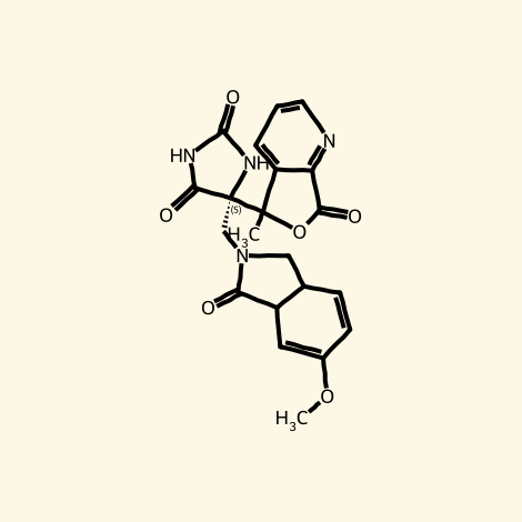 COC1=CC2C(=O)N(C[C@@]3(C4(C)OC(=O)c5ncccc54)NC(=O)NC3=O)CC2C=C1